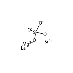 [La].[Mg+2].[O-][Si]([O-])([O-])[O-].[Sr+2]